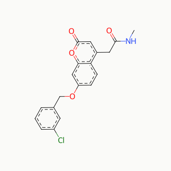 CNC(=O)Cc1cc(=O)oc2cc(OCc3cccc(Cl)c3)ccc12